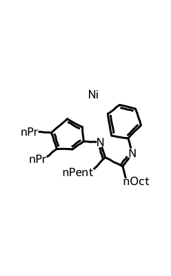 CCCCCCCCC(=Nc1ccccc1)C(CCCCC)=Nc1ccc(CCC)c(CCC)c1.[Ni]